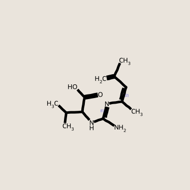 C=C(C)/C=C(C)\N=C(/N)NC(C(=O)O)C(C)C